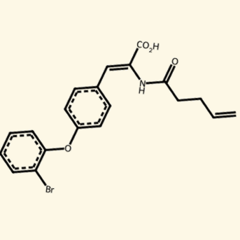 C=CCCC(=O)NC(=Cc1ccc(Oc2ccccc2Br)cc1)C(=O)O